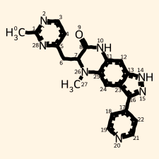 Cc1nccc(CC2C(=O)Nc3cc4[nH]nc(-c5ccncc5)c4cc3N2C)n1